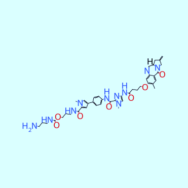 C=C1C[C@H]2C=Nc3cc(OCCCC(=O)Nc4cn(C)c(C(=O)Nc5ccc(-c6cc(C(=O)NCCCOC(=O)NCCCN)n(C)c6)cc5)n4)c(C)cc3C(=O)N2C1